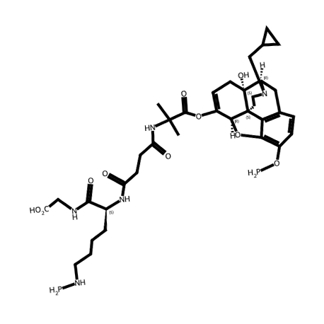 CC(C)(NC(=O)CCC(=O)N[C@@H](CCCCNP)C(=O)NCC(=O)O)C(=O)OC1=CC[C@@]2(O)[C@H]3Cc4ccc(OP)c5c4[C@@]2(CCN3CC2CC2)[C@H]1O5